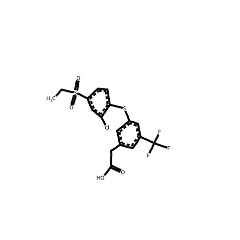 CCS(=O)(=O)c1ccc(Sc2cc(CC(=O)O)cc(C(F)(F)F)c2)c(Cl)c1